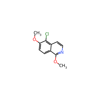 COc1ccc2c(OC)nccc2c1Cl